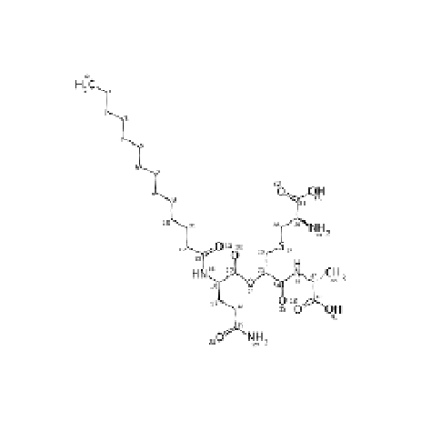 CCCCCCCCCCCCCC(=O)N[C@H](CCC(N)=O)C(=O)O[C@H](CSC[C@H](N)C(=O)O)C(=O)N[C@H](C)C(=O)O